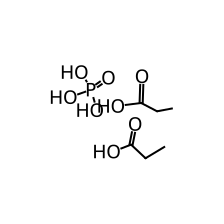 CCC(=O)O.CCC(=O)O.O=P(O)(O)O